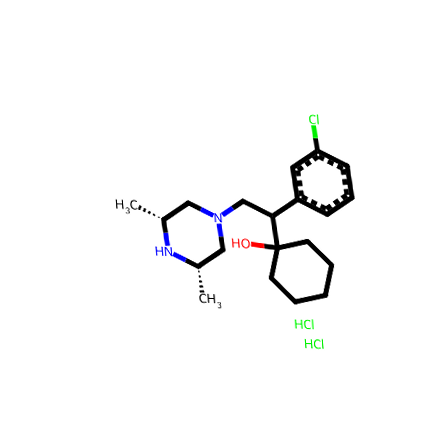 C[C@@H]1CN(CC(c2cccc(Cl)c2)C2(O)CCCCC2)C[C@H](C)N1.Cl.Cl